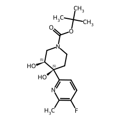 Cc1nc([C@@]2(O)CCN(C(=O)OC(C)(C)C)C[C@@H]2O)ccc1F